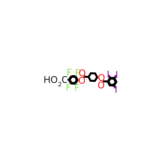 O=C(OC1CCC(C(=O)Oc2c(F)c(F)c(C(=O)O)c(F)c2F)CC1)c1cc(I)cc(I)c1I